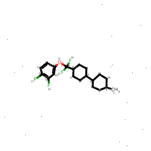 CC1CCC(C2CCC(C(F)(F)Oc3ccc(F)c(F)c3)CC2)CC1